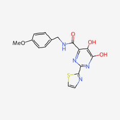 COc1ccc(CNC(=O)c2nc(-c3nccs3)nc(O)c2O)cc1